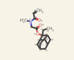 C=CC(=O)N(C)CC(=O)OC1(CC)C2CC3CC(C2)CC1C3